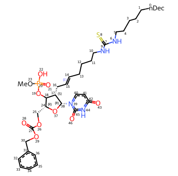 CCCCCCCCCCCCCCCNC(=S)NCCCC/C=C/C[C@H]1C(OP(=O)(O)OC)[C@@H](COC(=O)OCc2ccccc2)O[C@H]1n1ccc(=O)[nH]c1=O